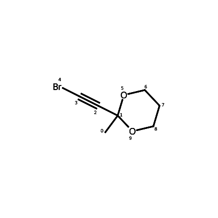 CC1(C#CBr)OCCCO1